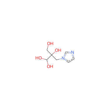 OCC(O)(Cn1ccnc1)C(O)O